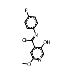 COc1cc(C(Cl)=Nc2ccc(F)cc2)c(O)cn1